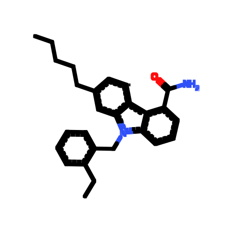 CCCCCc1c[c]c2c3c(C(N)=O)cccc3n(Cc3ccccc3CC)c2c1